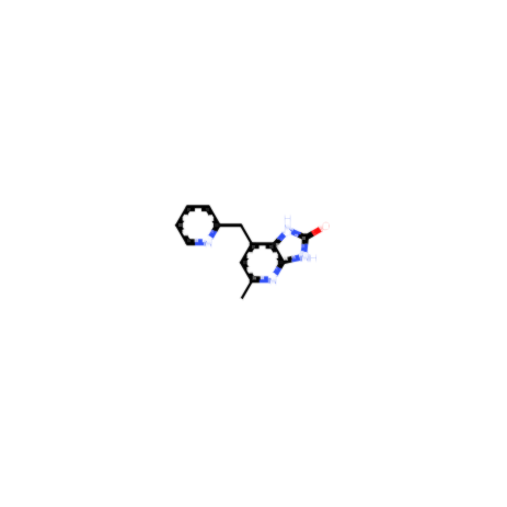 Cc1cc(Cc2ccccn2)c2[nH]c(=O)[nH]c2n1